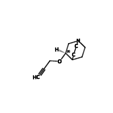 C#CCO[C@H]1CN2CCC1CC2